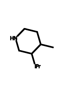 CC(C)C1CNCCC1C